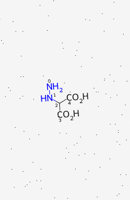 NNC(C(=O)O)C(=O)O